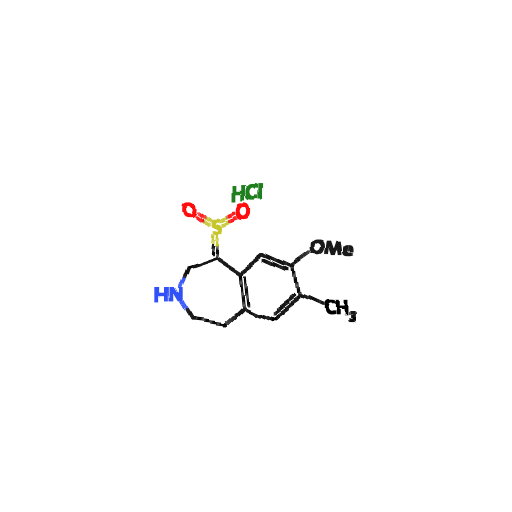 COc1cc2c(cc1C)CCNCC2=S(=O)=O.Cl